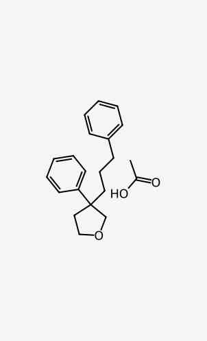 CC(=O)O.c1ccc(CCCC2(c3ccccc3)CCOC2)cc1